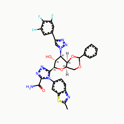 Cc1nc2ccc(-n3c(C(N)=O)nnc3[C@@H]3O[C@@H]4COC(c5ccccc5)O[C@@H]4[C@H](n4cc(-c5cc(F)c(F)c(F)c5)nn4)[C@H]3O)cc2s1